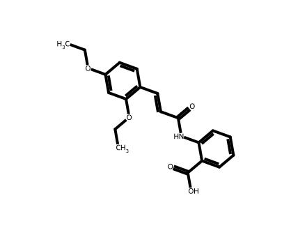 CCOc1ccc(C=CC(=O)Nc2ccccc2C(=O)O)c(OCC)c1